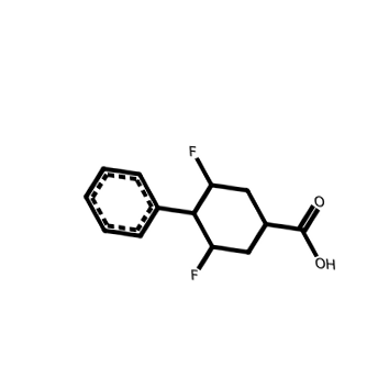 O=C(O)C1CC(F)C(c2ccccc2)C(F)C1